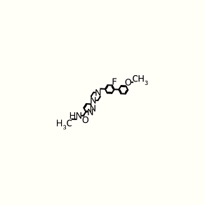 CCCNC(=O)c1ccc(N2CCN(Cc3ccc(-c4cccc(OCC)c4)c(F)c3)CC2)nn1